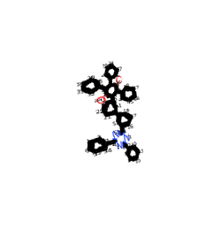 c1ccc(-c2nc(-c3ccccc3)nc(-c3cccc(-c4ccc5oc6c(-c7ccccc7)c7c(oc8ccccc87)c(-c7ccccc7)c6c5c4)c3)n2)cc1